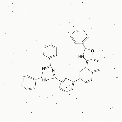 c1ccc(C2=NC(c3ccccc3)NC(c3cccc(-c4ccc5ccc6c(c5c4)NC(c4ccccc4)O6)c3)=N2)cc1